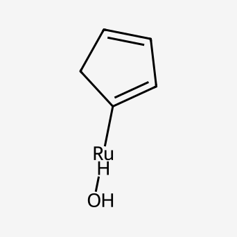 [OH][RuH][C]1=CC=CC1